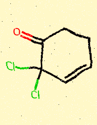 O=C1CCC=CC1(Cl)Cl